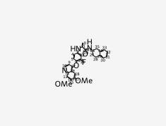 C=C(Nc1ccc(Oc2ccnc3cc(OC)c(OC)cc23)c(F)c1)C(=O)N[C@H]1CCc2ccccc2C1